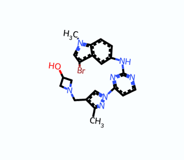 Cc1nn(-c2ccnc(Nc3ccc4c(c3)c(Br)cn4C)n2)cc1CN1CC(O)C1